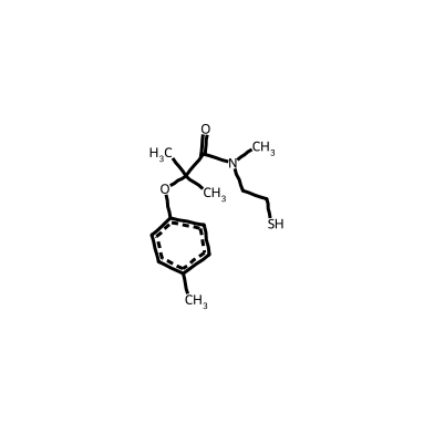 Cc1ccc(OC(C)(C)C(=O)N(C)CCS)cc1